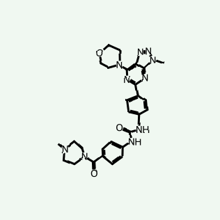 CN1CCN(C(=O)c2ccc(NC(=O)Nc3ccc(-c4nc(N5CCOCC5)c5nnn(C)c5n4)cc3)cc2)CC1